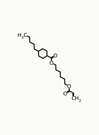 C=CC(=O)OCCCCCCOC(=O)C1CCC(CCCCC)CC1